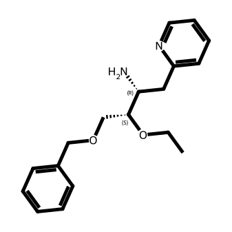 CCO[C@H](COCc1ccccc1)[C@H](N)Cc1ccccn1